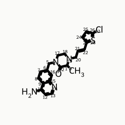 CC1C(=O)N(Cc2ccc3c(N)ccnc3c2)CCN1C/C=C/c1ccc(Cl)s1